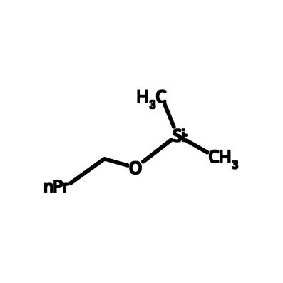 CCCCO[Si](C)C